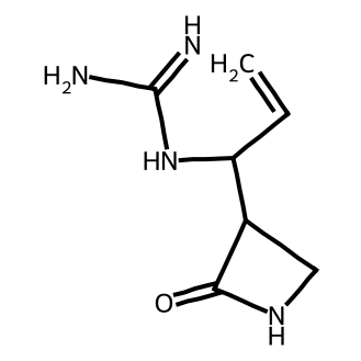 C=CC(NC(=N)N)C1CNC1=O